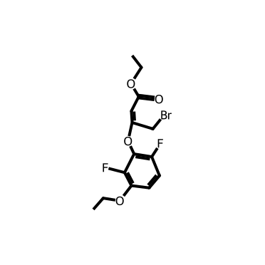 CCOC(=O)C=C(CBr)Oc1c(F)ccc(OCC)c1F